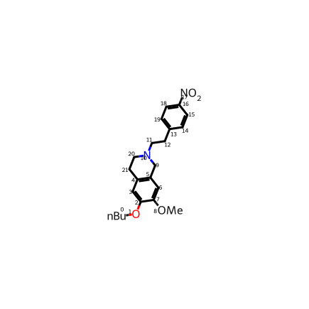 CCCCOc1cc2c(cc1OC)CN(CCc1ccc([N+](=O)[O-])cc1)CC2